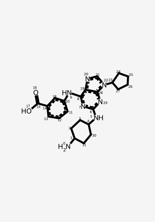 NC1CCC(Nc2nc(Nc3cccc(C(=O)O)c3)c3ncn(C4CCCC4)c3n2)CC1